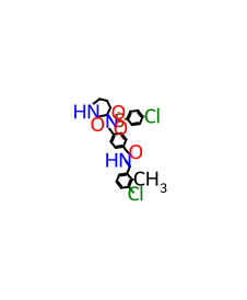 Cc1c(Cl)cccc1CNC(=O)c1ccc(CN([C@@H]2CCCCNC2=O)S(=O)(=O)c2ccc(Cl)cc2)cc1